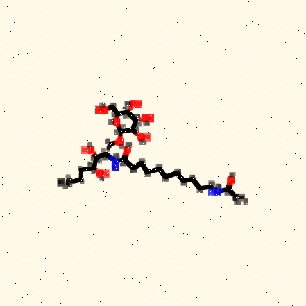 CCC[C@@H](O)[C@@H](O)[C@H](CO[C@H]1OC(CO)[C@H](O)[C@H](O)C1O)NC(=O)CCCCCCCCCCNC(C)=O